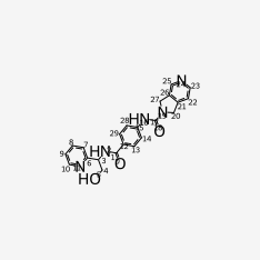 O=C(NC(CO)c1ccccn1)c1ccc(NC(=O)N2Cc3ccncc3C2)cc1